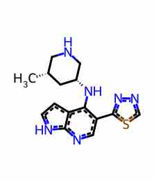 C[C@@H]1CNC[C@H](Nc2c(-c3nncs3)cnc3[nH]ccc23)C1